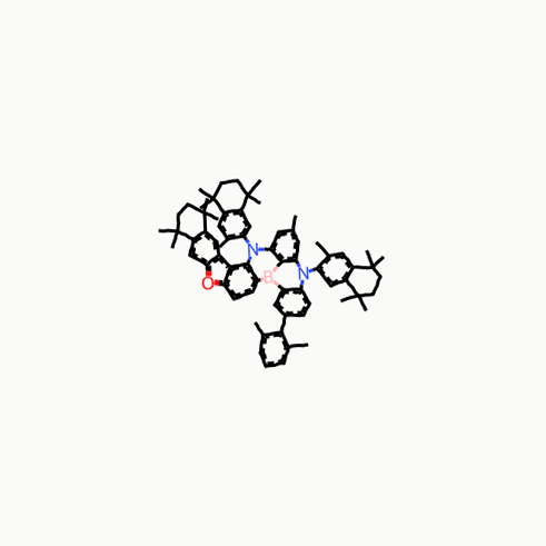 Cc1cc2c3c(c1)N(c1cc4c(cc1C)C(C)(C)CCC4(C)C)c1c(ccc4oc5cc6c(cc5c14)C(C)(C)CCC6(C)C)B3c1cc(-c3c(C)cccc3C)ccc1N2c1cc2c(cc1C)C(C)(C)CCC2(C)C